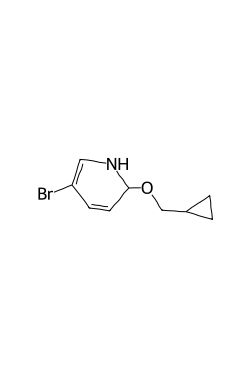 BrC1=CNC(OCC2CC2)C=C1